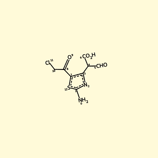 Nc1nc(C(C=O)C(=O)O)c(C(=O)CCl)s1